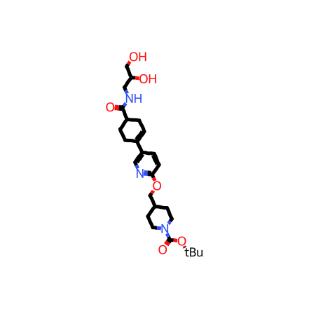 CC(C)(C)OC(=O)N1CCC(COc2ccc(C3=CCC(C(=O)NCC(O)CO)CC3)cn2)CC1